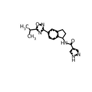 CC(C)c1nc(-c2ccc3c(c2)CCC3NC(=O)c2cn[nH]c2)no1